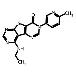 CCNc1ncnc2sc3c(=O)n(-c4ccc(C)nc4)cnc3c12